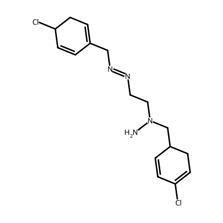 NN(CCN=NCC1=CCC(Cl)C=C1)CC1C=CC(Cl)=CC1